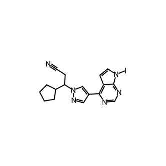 N#CCC(C1CCCC1)n1cc(-c2ncnc3c2ccn3I)cn1